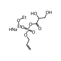 C=CCOS(=O)(=O)OC(=O)C(O)CO.CCOCC.[NaH]